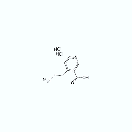 CCCc1ccncc1C(=O)O.Cl.Cl